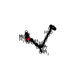 CCCC1O[C@@H]2C[C@H]3[C@@H]4C[C@H](F)C5=CC(=O)C=C[C@]5(C)[C@@]4(F)[C@@H](O)C[C@]3(C)[C@]2(C(=O)COc2ccc(NC(=O)OCc3ccc(NC(=O)[C@H](CCCNC(N)=O)NC(=O)[C@@H](NC(=O)CCOCCOCCOCCOCCNC(=O)CCC(=O)N4Cc5ccccc5C#Cc5ccccc54)C(C)C)cc3)cc2)O1